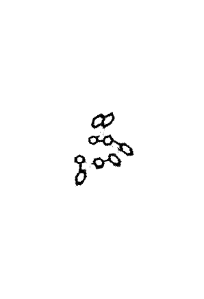 c1cc(-c2ccc(-n3c4ccccc4c4ccccc43)cc2)cc(-n2c3ccccc3c3cc4c(cc32)c2ccccc2n4-c2cccc3ccccc23)c1